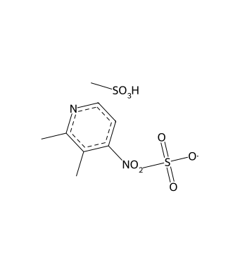 CS(=O)(=O)O.CS([O])(=O)=O.Cc1nccc([N+](=O)[O-])c1C